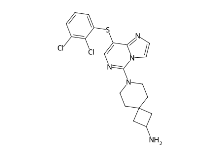 NC1CC2(CCN(c3ncc(Sc4cccc(Cl)c4Cl)c4nccn34)CC2)C1